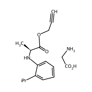 C#CCOC(=O)[C@H](C)Nc1ccccc1C(C)C.NCC(=O)O